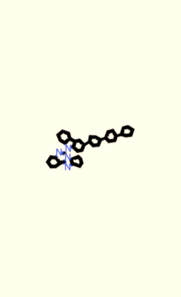 c1ccc(-c2ccc(-c3ccc(-c4ccc5c(c4)c4ccccc4n5-c4nc5ccccc5c5nc6ccccc6n45)cc3)cc2)cc1